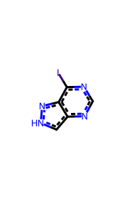 Ic1ncnc2c[nH]nc12